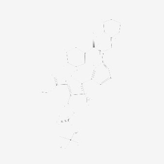 COC(=O)c1sc(-c2cccc(N(CC3CCCCC3)C(=O)C3CCCCC3)c2)c(Br)c1OCC(=O)OC(C)(C)C